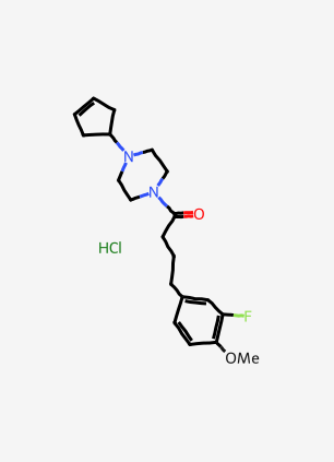 COc1ccc(CCCC(=O)N2CCN(C3CC=CC3)CC2)cc1F.Cl